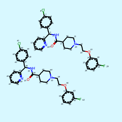 O=C(NC(c1ccc(Cl)cc1)c1ccccn1)C1CCN(CCOc2cccc(F)c2)CC1.O=C(NC(c1ccc(Cl)cc1)c1ccccn1)C1CCN(CCOc2cccc(F)c2)CC1